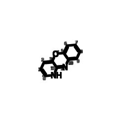 [C]1=CC=C2Oc3ccccc3N=C2N1